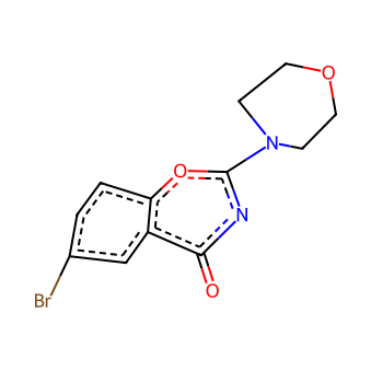 O=c1nc(N2CCOCC2)oc2ccc(Br)cc12